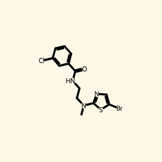 CN(CCNC(=O)c1cccc(Cl)c1)c1ncc(Br)s1